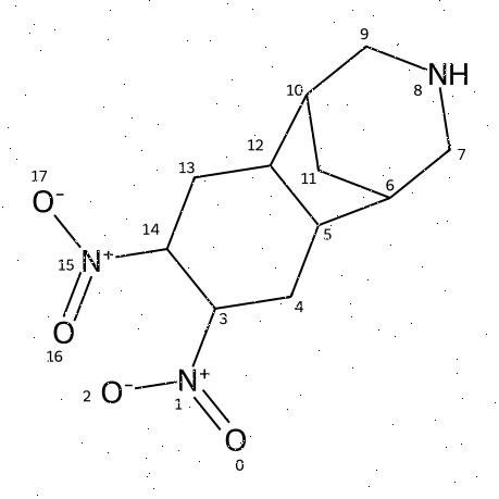 O=[N+]([O-])C1CC2C3CNCC(C3)C2CC1[N+](=O)[O-]